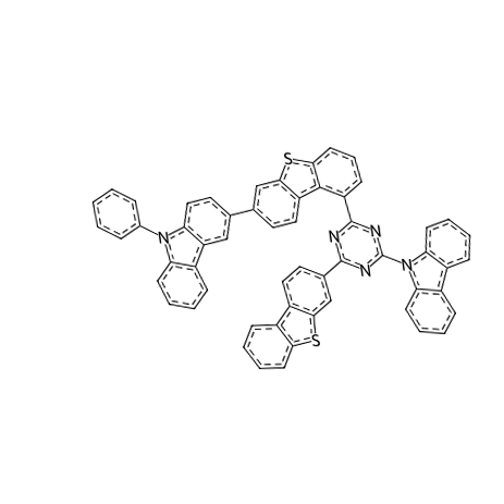 c1ccc(-n2c3ccccc3c3cc(-c4ccc5c(c4)sc4cccc(-c6nc(-c7ccc8c(c7)sc7ccccc78)nc(-n7c8ccccc8c8ccccc87)n6)c45)ccc32)cc1